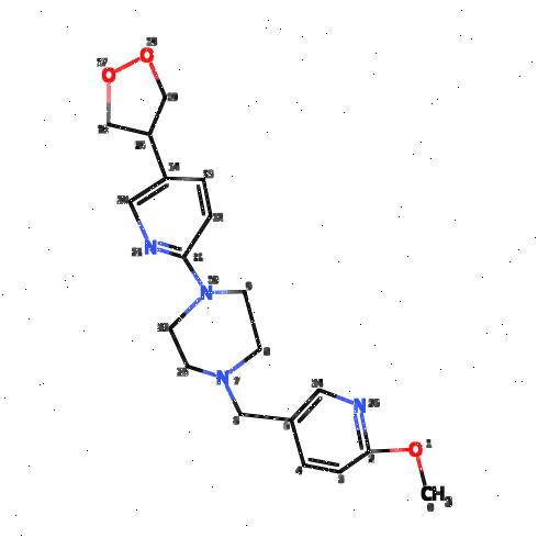 COc1ccc(CN2CCN(c3ccc(C4COOC4)cn3)CC2)cn1